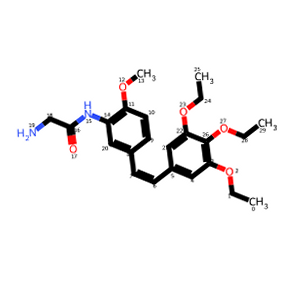 CCOc1cc(/C=C\c2ccc(OC)c(NC(=O)CN)c2)cc(OCC)c1OCC